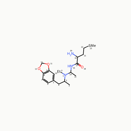 CCN(C(C)Cc1ccc2c(c1)OCO2)C(C)NC(=O)C(N)CCSC